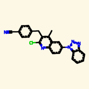 Cc1c(Cc2ccc(C#N)cc2)c(Cl)nc2ccc(-n3nnc4ccccc43)cc12